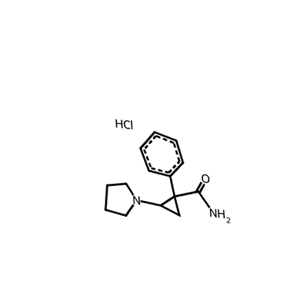 Cl.NC(=O)C1(c2ccccc2)CC1N1CCCC1